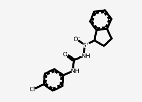 O=C(Nc1ccc(Cl)cc1)N[S+]([O-])C1CCc2ccccc21